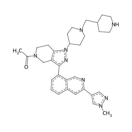 CC(=O)N1CCc2c(c(-c3cccc4cc(-c5cnn(C)c5)ncc34)nn2C2CCN(CC3CCNCC3)CC2)C1